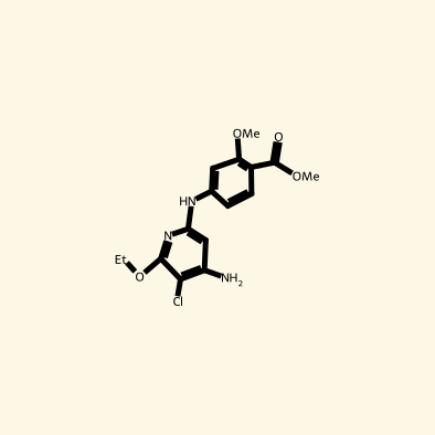 CCOc1nc(Nc2ccc(C(=O)OC)c(OC)c2)cc(N)c1Cl